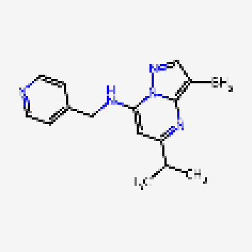 Bc1cnn2c(NCc3ccncc3)cc(C(C)C)nc12